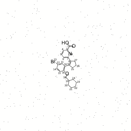 O=C(O)c1cccc(C2=C(c3cc(Br)ccc3OCC3CCCCC3)CCC2)n1